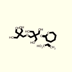 C=CC(=O)O.O=C1CCCCCO1.OCC(CO)(CO)COCC(CO)(CO)CO